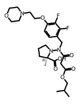 CC(C)COC(=O)CC(=O)N(Cc1ccc(OCCN2CCOCC2)c(F)c1F)N1CCC[C@]1(C)C(=O)O